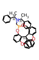 C[C@H](c1ccccc1)N(CP1OCc2cccc3c2[C@]2(c4ccccc4O3)c3ccccc3Oc3cccc(c32)O1)[C@H](C)c1ccccc1